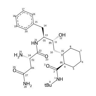 CC(C)(C)NC(=O)[C@@H]1CCCC[C@H]1C[C@@H](O)[C@H](Cc1ccccc1)NC(=O)[C@@H](N)CC(N)=O